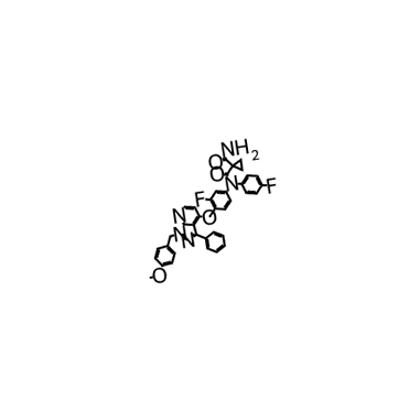 COc1ccc(Cn2nc(-c3ccccc3)c3c(Oc4ccc(N(C(=O)C5(C(N)=O)CC5)c5ccc(F)cc5)cc4F)ccnc32)cc1